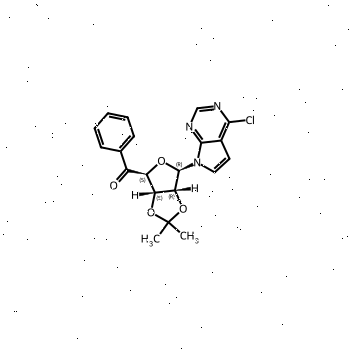 CC1(C)O[C@@H]2[C@H](O1)[C@@H](C(=O)c1ccccc1)O[C@H]2n1ccc2c(Cl)ncnc21